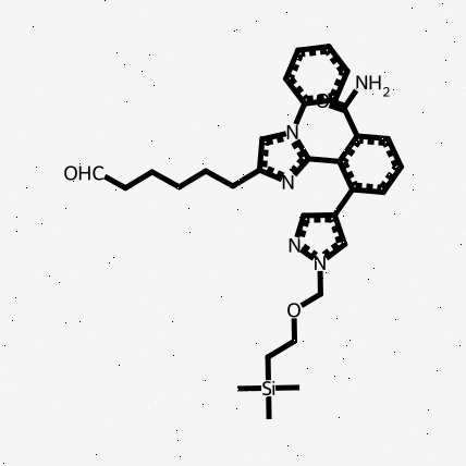 C[Si](C)(C)CCOCn1cc(-c2cccc(C(N)=O)c2-c2nc(CCCCCC=O)cn2-c2ccccc2)cn1